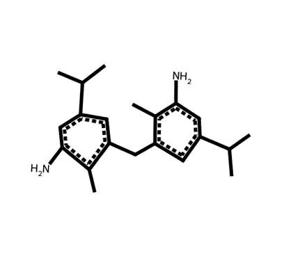 Cc1c(N)cc(C(C)C)cc1Cc1cc(C(C)C)cc(N)c1C